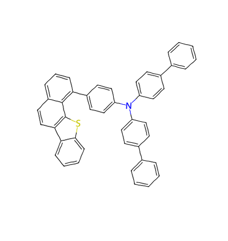 c1ccc(-c2ccc(N(c3ccc(-c4ccccc4)cc3)c3ccc(-c4cccc5ccc6c7ccccc7sc6c45)cc3)cc2)cc1